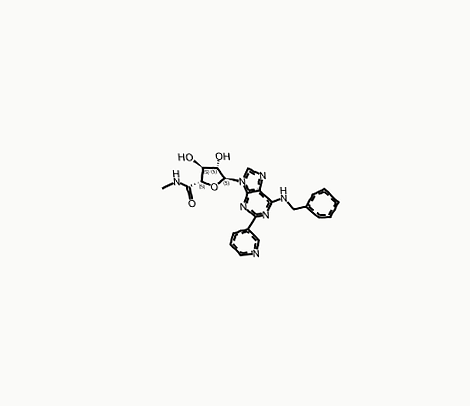 CNC(=O)[C@H]1O[C@H](n2cnc3c(NCc4ccccc4)nc(-c4cccnc4)nc32)[C@@H](O)[C@@H]1O